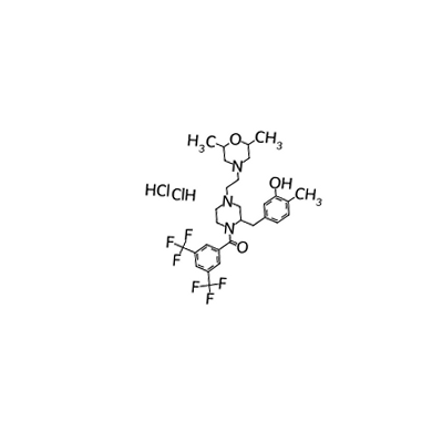 Cc1ccc(CC2CN(CCN3CC(C)OC(C)C3)CCN2C(=O)c2cc(C(F)(F)F)cc(C(F)(F)F)c2)cc1O.Cl.Cl